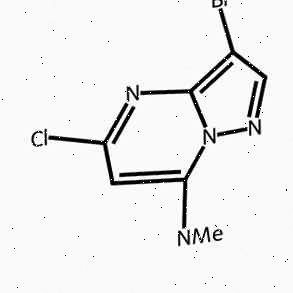 CNc1cc(Cl)nc2c(Br)cnn12